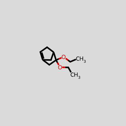 CCOC1(OCC)CC2=CCC1C2